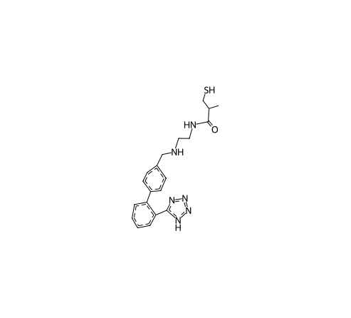 CC(CS)C(=O)NCCNCc1ccc(-c2ccccc2-c2nnn[nH]2)cc1